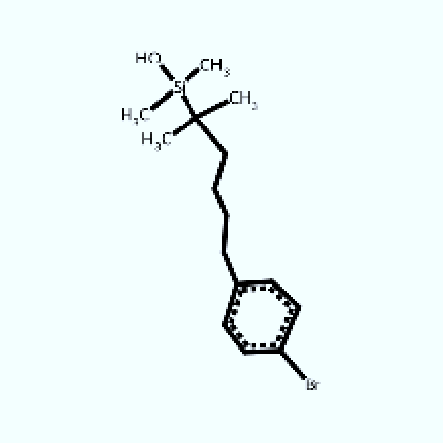 CC(C)(CCCCc1ccc(Br)cc1)[Si](C)(C)O